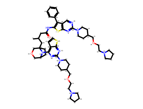 CC(CC(=O)Nc1sc2nc(N3CCC(COCCN4CCCC4)CC3)ncc2c1-c1ccccc1)CC12CCC(COC1)N2c1nc(N2CCC(COCCN3CCCC3)CC2)nc2sccc12